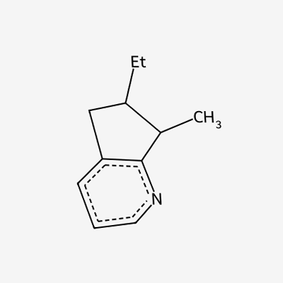 CCC1Cc2cccnc2C1C